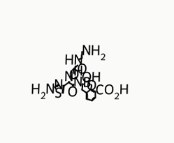 NCCNC(=O)CON=C(C(=O)NC1Cc2cccc(C(=O)O)c2OB1O)c1csc(N)n1